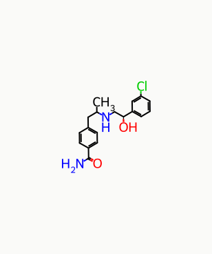 CC(Cc1ccc(C(N)=O)cc1)NC[C@H](O)c1cccc(Cl)c1